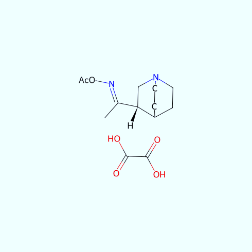 CC(=O)ON=C(C)[C@@H]1CN2CCC1CC2.O=C(O)C(=O)O